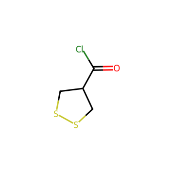 O=C(Cl)C1CSSC1